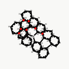 c1ccc(-c2cccc3cccc(-c4ccccc4N(c4ccccc4-c4cccc5cccc(-c6ccccc6)c45)c4ccccc4-c4cccc5sc6ccccc6c45)c23)cc1